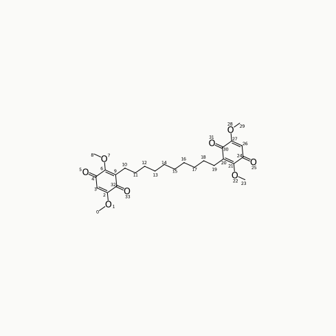 COC1=CC(=O)C(OC)=C(CCCCCCCCCCC2=C(OC)C(=O)C=C(OC)C2=O)C1=O